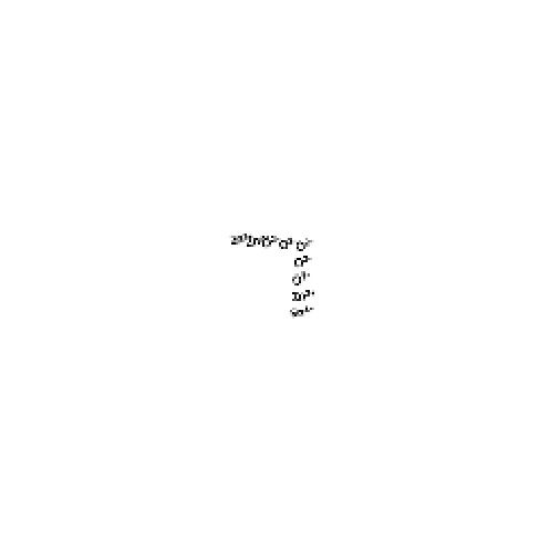 [O-2].[O-2].[O-2].[O-2].[O-2].[Sn+4].[Zn+2].[Zn+2].[Zn+2]